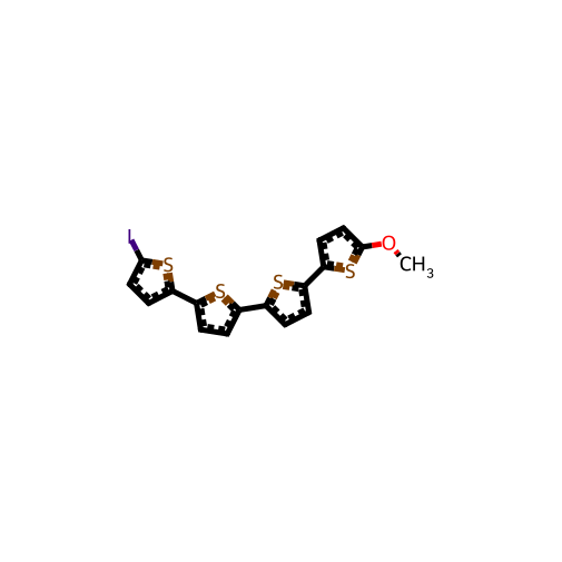 COc1ccc(-c2ccc(-c3ccc(-c4ccc(I)s4)s3)s2)s1